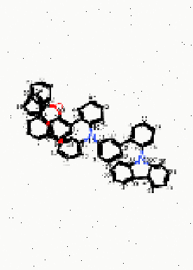 c1ccc(-c2cccc(-c3cccc(N(c4cccc(-c5ccccc5-n5c6ccccc6c6ccccc65)c4)c4ccccc4-c4cccc5c4oc4ccccc45)c3)c2)cc1